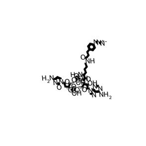 [N-]=[N+]=Nc1ccc(CCC(=O)NCCCC[C@H](N)C(=O)O[C@H]2[C@@H](O)[C@H](n3cnc4c(N)ncnc43)O[C@@H]2COP(=O)(O)O[C@H]2C[C@H](n3ccc(N)nc3=O)O[C@@H]2COP(=O)(O)O)cc1